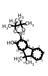 CC1(C)c2ccccc2-c2cc(B3OC(C)(C)C(C)(C)O3)c(O)cc21